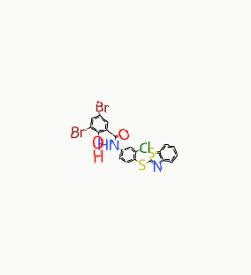 O=C(Nc1ccc(Sc2nc3ccccc3s2)c(Cl)c1)c1cc(Br)cc(Br)c1O